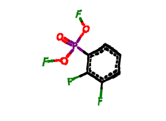 O=P(OF)(OF)c1cccc(F)c1F